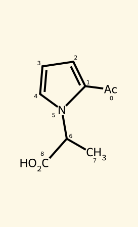 CC(=O)c1cccn1C(C)C(=O)O